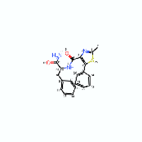 Cc1nc(C(=O)N[C@@H](Cc2ccccc2)C(N)=O)c(-c2ccccc2)s1